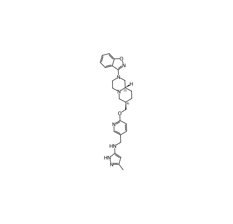 Cc1cc(NCc2ccc(OC[C@@H]3CC[C@H]4CN(c5noc6ccccc56)CCN4C3)nc2)[nH]n1